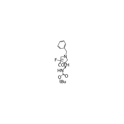 CC(C)(C)OC(=O)NC[C@@H]1CN(Cc2ccccc2)C[C@]1(F)C(=O)O